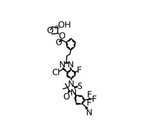 CC1(C)C(=O)N(c2ccc(C#N)c(C(F)(F)F)c2)C(=S)N1c1cc(F)c2nc(CCc3cccc(C(=O)OC4COC[C@H]4O)c3)nc(Cl)c2c1